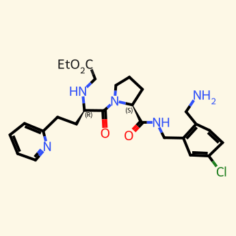 CCOC(=O)CN[C@H](CCc1ccccn1)C(=O)N1CCC[C@H]1C(=O)NCc1cc(Cl)ccc1CN